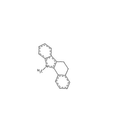 Cn1c2c(c3ccccc31)CCc1ccccc1-2